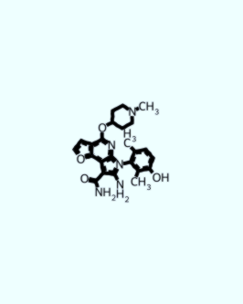 Cc1ccc(O)c(C)c1-n1c(N)c(C(N)=O)c2c3occc3c(OC3CCN(C)CC3)nc21